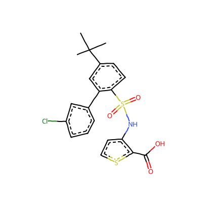 CC(C)(C)c1ccc(S(=O)(=O)Nc2ccsc2C(=O)O)c(-c2cccc(Cl)c2)c1